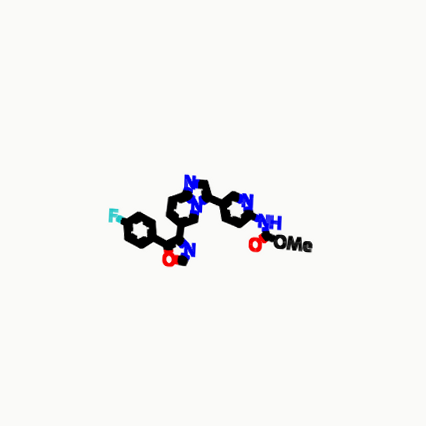 COC(=O)Nc1ccc(-c2cnc3ccc(-c4ncoc4-c4ccc(F)cc4)cn23)cn1